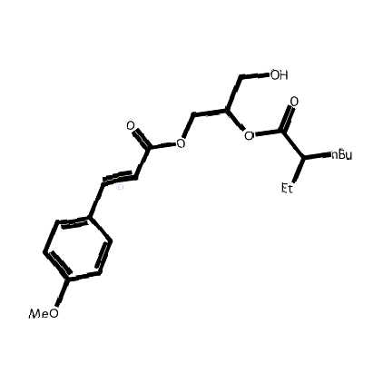 CCCCC(CC)C(=O)OC(CO)COC(=O)/C=C/c1ccc(OC)cc1